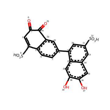 O=C1C=C(S(=O)(=O)O)c2ccc(-c3cc(S(=O)(=O)O)cc4cc(O)c(O)cc34)cc2C1=O